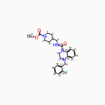 CC(C)(C)OC(=O)N1CCC(CNC(=O)N2CCN(Cc3ccccc3F)c3ccccc32)CC1